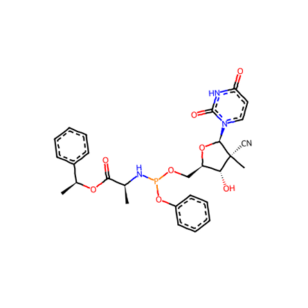 C[C@H](NP(OC[C@H]1O[C@@H](n2ccc(=O)[nH]c2=O)[C@](C)(C#N)[C@@H]1O)Oc1ccccc1)C(=O)O[C@@H](C)c1ccccc1